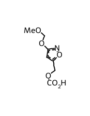 COCOc1cc(COC(=O)O)on1